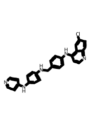 Clc1ccc2nccc(Nc3ccc(CNc4ccc(Nc5ccncc5)cc4)cc3)c2c1